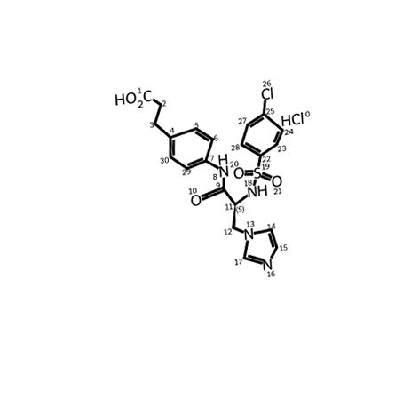 Cl.O=C(O)CCc1ccc(NC(=O)[C@H](Cn2ccnc2)NS(=O)(=O)c2ccc(Cl)cc2)cc1